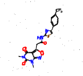 Cn1c(=O)c2c(CC(=O)Nc3nc(-c4ccc(C(F)(F)F)cc4)cs3)onc2n(C)c1=O